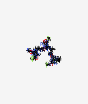 C=C(C(=O)N1CCN(c2nc(OC[C@@H]3CCCN3C)nc3c2CCN(c2cc(C4C[C@@H](COc5nc6c(c(N7CCN(C(=O)/C=C/C(F)(F)F)[C@@H](CC#N)C7)n5)CCN(c5cc(C7C[C@@H](COc8nc9c(c(N%10CCN(C(=O)/C=C/C(F)F)[C@@H](CC#N)C%10)n8)CCN(c8cccc%10cccc(Cl)c8%10)C9)N(C)C7)cc(C)c5C)C6)N(C)C4)cc(C)c2C)C3)C[C@@H]1CC#N)C(F)(F)F